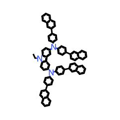 CCn1c2ccc(N(c3ccc(-c4ccc5ccccc5c4)cc3)c3ccc(-c4ccc5ccccc5c4)cc3)cc2c2cc(N(c3ccc(-c4ccc5ccccc5c4)cc3)c3ccc(-c4ccc5ccccc5c4)cc3)ccc21